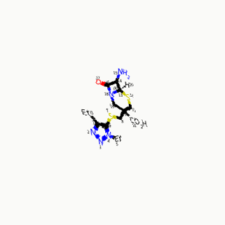 CCc1nnn(CC)c1SCC1(C(=O)O)CS[C@@H]2C(N)C(=O)N2C1